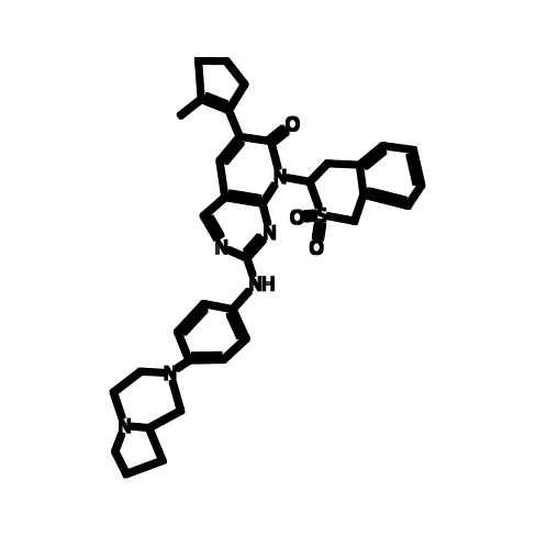 CC1=C(c2cc3cnc(Nc4ccc(N5CCN6CCCC6C5)cc4)nc3n(C3Cc4ccccc4CS3(=O)=O)c2=O)CCC1